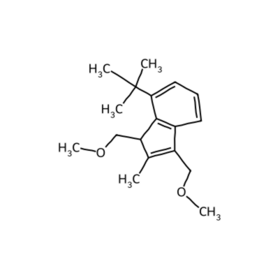 COCC1=C(C)C(COC)c2c1cccc2C(C)(C)C